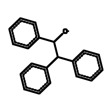 [O]C(c1ccccc1)C(c1ccccc1)c1ccccc1